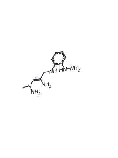 CN(N)/C=C(\N)CNc1ccccc1NN